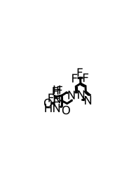 O=C1NC(=O)C2(CCN(c3cc(C(F)(F)F)cc4cncn34)CC2(F)C(F)(F)F)N1